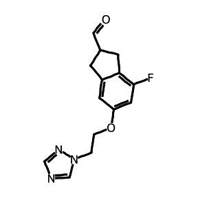 O=CC1Cc2cc(OCCn3cncn3)cc(F)c2C1